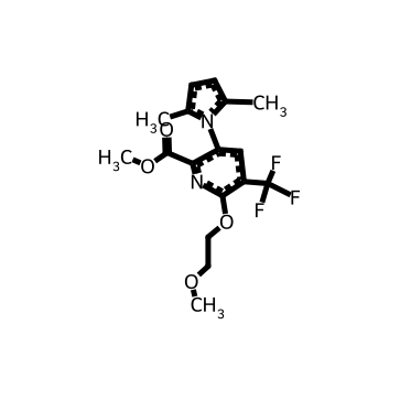 COCCOc1nc(C(=O)OC)c(-n2c(C)ccc2C)cc1C(F)(F)F